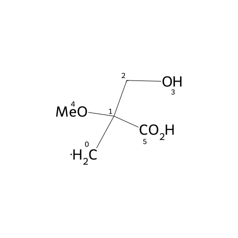 [CH2]C(CO)(OC)C(=O)O